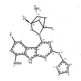 CNc1cc(F)cc2c1[nH]c1nc(Sc3nncs3)nc(N3C[C@H]4CC3(C)C[C@H]4N)c12